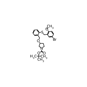 COc1ccc(Br)cc1CSc1ccccc1COC1CCN(C(=O)OC(C)(C)C)C1